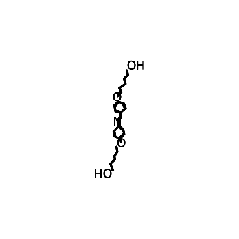 OCCCCCCOc1ccc(C=Nc2ccc(OCCCCCCO)cc2)cc1